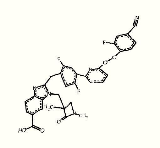 CN1CC(C)(Cn2c(Cc3cc(F)c(-c4cccc(OCc5ccc(C#N)cc5F)n4)cc3F)nc3ccc(C(=O)O)cc32)C1=O